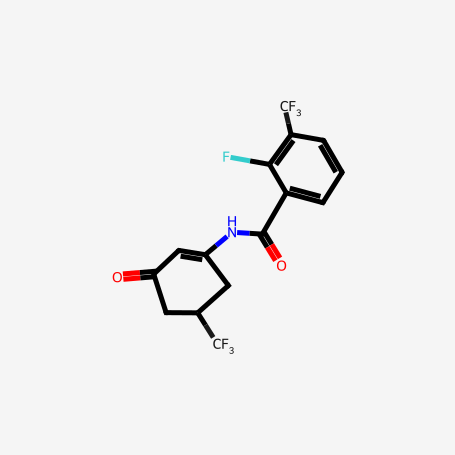 O=C1C=C(NC(=O)c2cccc(C(F)(F)F)c2F)CC(C(F)(F)F)C1